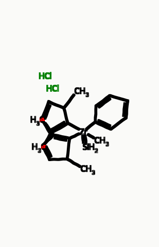 CC1=[C]([Zr]([CH3])(=[SiH2])([C]2=C(C)C=CC2C)[c]2ccccc2)C(C)C=C1.Cl.Cl